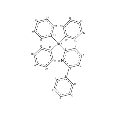 c1ccc(-c2cccc([Si](c3ccccc3)(c3ccccc3)c3ccccc3)n2)cc1